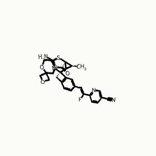 C[C@H]1C2[C@@]1(C(=O)N1CCOC3(COC3)C1)SC(N)=N[C@@]21Cc2ccc(/C=C(\F)c3ccc(C#N)cn3)cc21